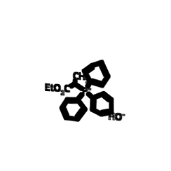 CCOC(=O)C(C)[P+](c1ccccc1)(c1ccccc1)c1ccccc1.[OH-]